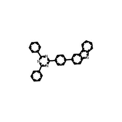 c1ccc(-c2nc(-c3ccccc3)nc(-c3ccc(-c4ccc5sc6ccccc6c5c4)cc3)n2)cc1